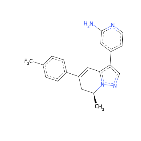 C[C@H]1CC(c2ccc(C(F)(F)F)cc2)=Cc2c(-c3ccnc(N)c3)cnn21